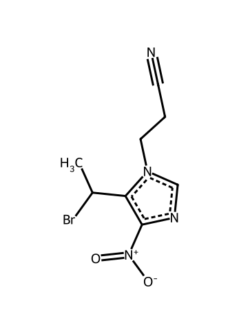 CC(Br)c1c([N+](=O)[O-])ncn1CCC#N